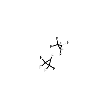 FC1C(F)(F)C1(F)F.F[C@@H]1[C@@H](F)C1(F)F